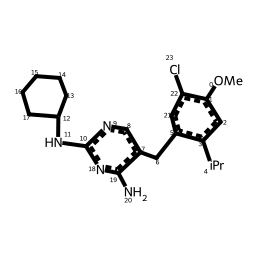 COc1cc(C(C)C)c(Cc2cnc(NC3CCCCC3)nc2N)cc1Cl